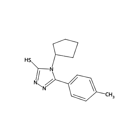 Cc1ccc(-c2nnc(S)n2C2CCCC2)cc1